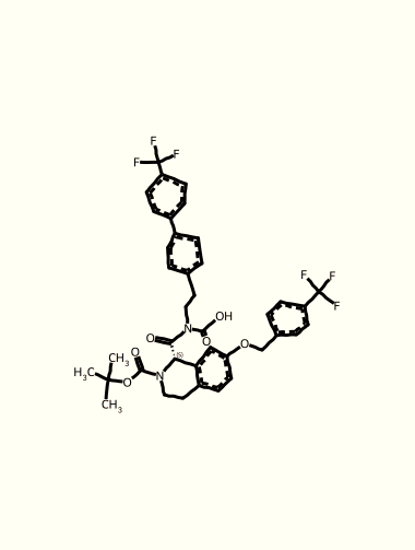 CC(C)(C)OC(=O)N1CCc2ccc(OCc3ccc(C(F)(F)F)cc3)cc2[C@H]1C(=O)N(CCc1ccc(-c2ccc(C(F)(F)F)cc2)cc1)C(=O)O